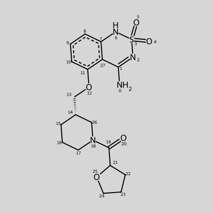 NC1=NS(=O)(=O)Nc2cccc(OC[C@H]3CCCN(C(=O)C4CCCO4)C3)c21